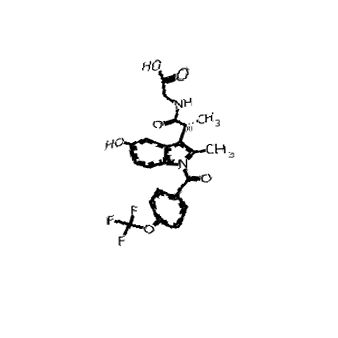 Cc1c([C@@H](C)C(=O)NCC(=O)O)c2cc(O)ccc2n1C(=O)c1ccc(OC(F)(F)F)cc1